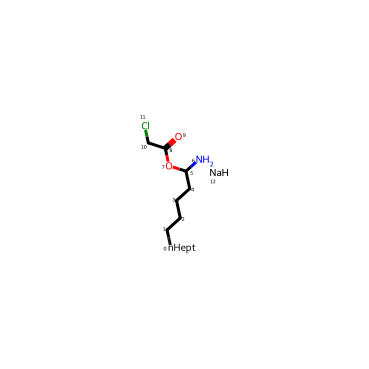 CCCCCCCCCCCC(N)OC(=O)CCl.[NaH]